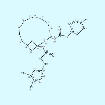 Cc1ccc(CC(=O)NC2CCCCCCCCCC3CC(NC(=O)COc4ccc(Cl)c(F)c4)(C3)C2)cn1